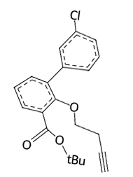 C#CCCOc1c(C(=O)OC(C)(C)C)cccc1-c1cccc(Cl)c1